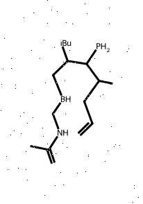 C=CCC(C)C(P)C(CBCNC(=C)C)C(C)CC